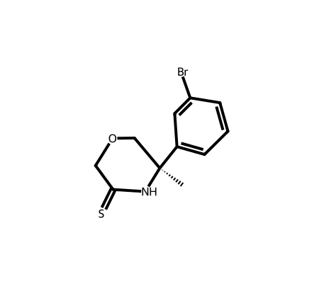 C[C@@]1(c2cccc(Br)c2)COCC(=S)N1